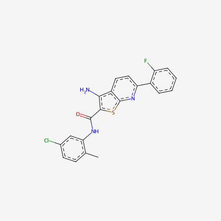 Cc1ccc(Cl)cc1NC(=O)c1sc2nc(-c3ccccc3F)ccc2c1N